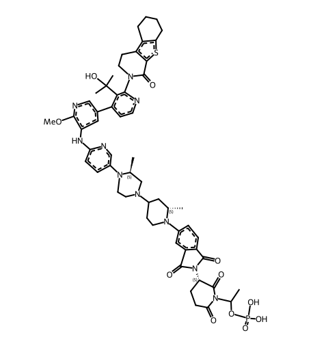 COc1ncc(-c2ccnc(N3CCc4c(sc5c4CCCC5)C3=O)c2C(C)(C)O)cc1Nc1ccc(N2CCN(C3CCN(c4ccc5c(c4)C(=O)N([C@H]4CCC(=O)N(C(C)OP(=O)(O)O)C4=O)C5=O)[C@@H](C)C3)C[C@@H]2C)cn1